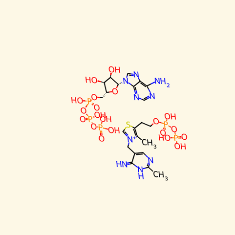 Cc1ncc(C[n+]2csc(CCOP(=O)(O)OP(=O)(O)O)c2C)c(=N)[nH]1.Nc1ncnc2c1ncn2[C@@H]1O[C@H](CO[P@@](=O)(O)O[P@@](=O)(O)OP(=O)(O)O)[C@@H](O)[C@H]1O